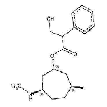 CN[C@@H]1CC[C@H](I)C[C@@H](OC(=O)C(CO)c2ccccc2)C1